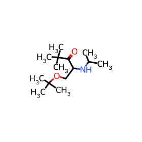 CC(C)NC(COC(C)(C)C)C(=O)C(C)(C)C